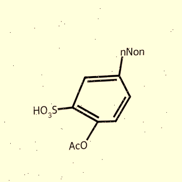 CCCCCCCCCc1ccc(OC(C)=O)c(S(=O)(=O)O)c1